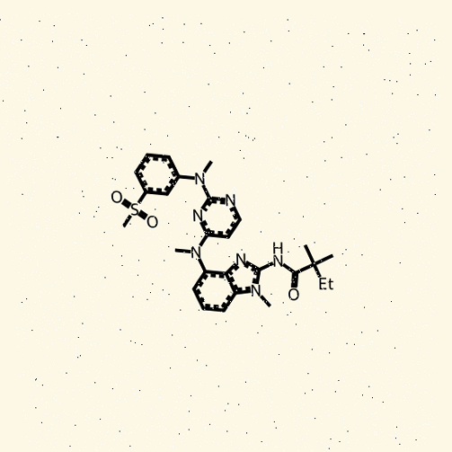 CCC(C)(C)C(=O)Nc1nc2c(N(C)c3ccnc(N(C)c4cccc(S(C)(=O)=O)c4)n3)cccc2n1C